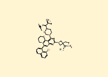 C=C(F)C(=O)N1CCN(c2nc(N3CC(CF)(N(C)C)C3)nc3cc(-c4cccc5cccc(Cl)c45)c4c(c23)OCCC4)C[C@@H]1CC#N